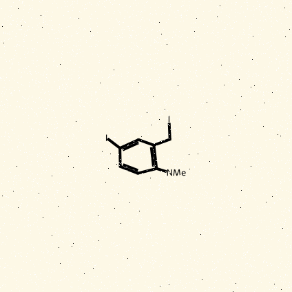 CNc1ccc(I)cc1CI